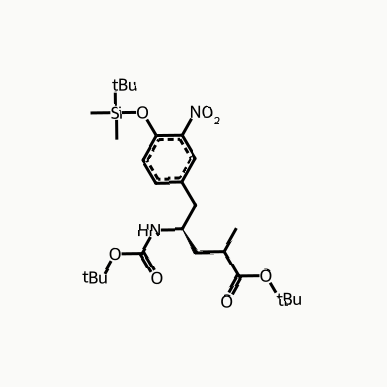 CC(C[C@H](Cc1ccc(O[Si](C)(C)C(C)(C)C)c([N+](=O)[O-])c1)NC(=O)OC(C)(C)C)C(=O)OC(C)(C)C